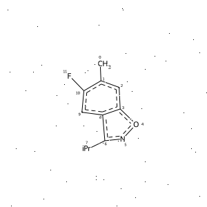 Cc1cc2onc(C(C)C)c2cc1F